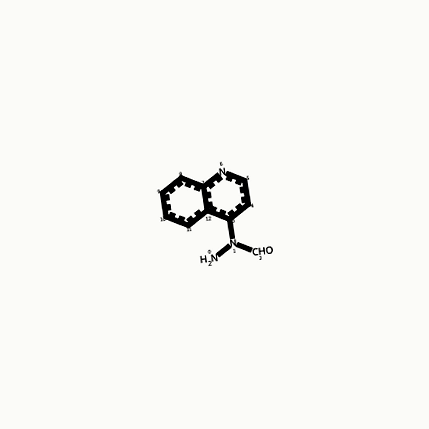 NN(C=O)c1ccnc2ccccc12